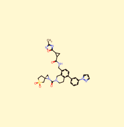 Cc1noc(C2CC2C(=O)NCc2ccc(-c3cccc(-n4cccn4)c3)c3c2CN(C(=O)N2C[C@@]24CCS(=O)(=O)C4)CC3)n1